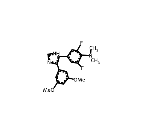 COc1cc(OC)cc(-c2nc[nH]c2-c2cc(F)c(N(C)C)c(F)c2)c1